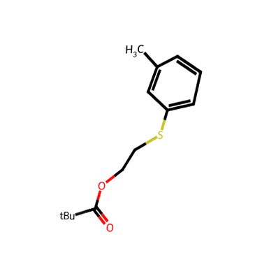 Cc1cccc(SCCOC(=O)C(C)(C)C)c1